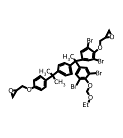 CCOCOc1c(Br)cc(C(C)(c2ccc(C(C)(C)c3ccc(OCC4CO4)cc3)cc2)c2cc(Br)c(OCC3CO3)c(Br)c2)cc1Br